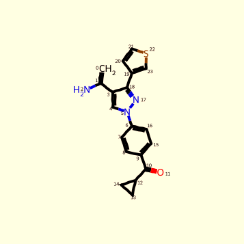 C=C(N)c1cn(-c2ccc(C(=O)C3CC3)cc2)nc1-c1ccsc1